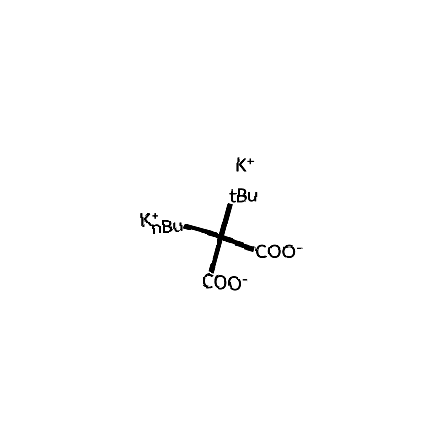 CCCCC(C(=O)[O-])(C(=O)[O-])C(C)(C)C.[K+].[K+]